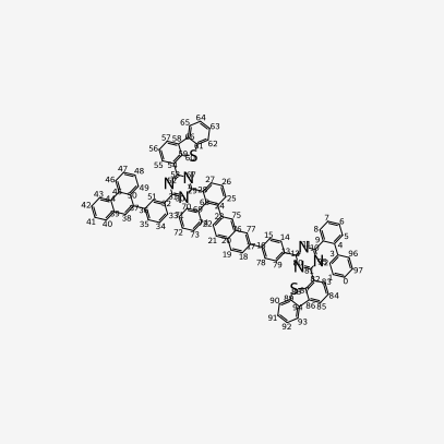 c1ccc(-c2ccccc2-c2nc(-c3ccc(-c4ccc5ccc(-c6cccc(-c7nc(-c8cccc(-c9cc%10ccccc%10c%10ccccc9%10)c8)nc(-c8cccc9c8sc8ccccc89)n7)c6-c6ccccc6)cc5c4)cc3)nc(-c3cccc4c3sc3ccccc34)n2)cc1